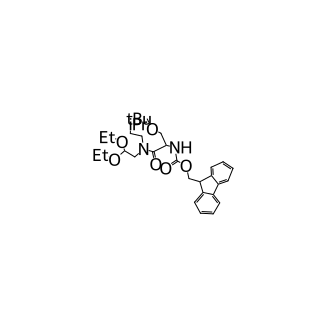 CCOC(CN(CCC(C)C)C(=O)C(COC(C)(C)C)NC(=O)OCC1c2ccccc2-c2ccccc21)OCC